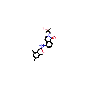 Cc1cc(C)c(CC(=O)Nc2cccc3c(=O)n(CC(C)(C)O)ccc23)c(C)c1